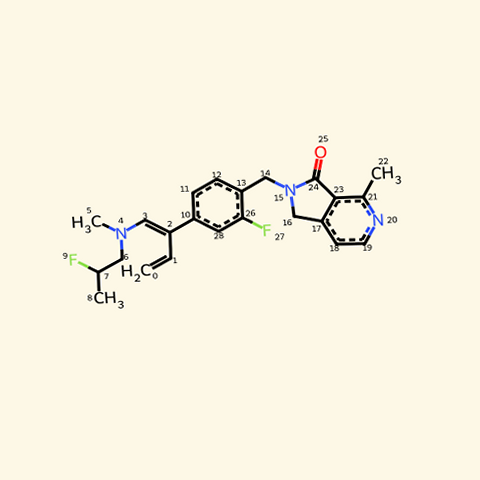 C=C/C(=C\N(C)CC(C)F)c1ccc(CN2Cc3ccnc(C)c3C2=O)c(F)c1